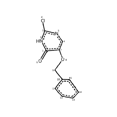 O=c1[nH]c(Cl)ncc1OCc1ccccc1